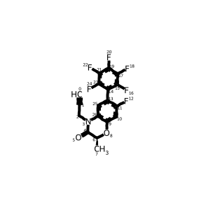 C#CCN1C(=O)[C@H](C)Oc2cc(F)c(-c3c(F)c(F)c(F)c(F)c3F)cc21